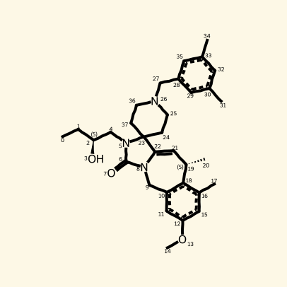 CC[C@H](O)CN1C(=O)N2Cc3cc(OC)cc(C)c3[C@@H](C)C=C2C12CCN(Cc1cc(C)cc(C)c1)CC2